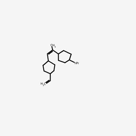 C=CC1CCC(C=C(C)C2CCC(CCC)CC2)CC1